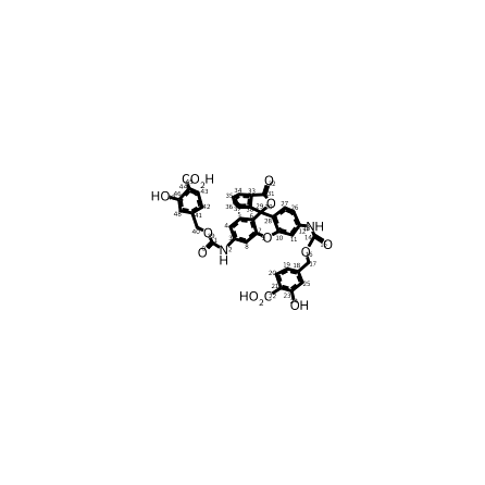 O=C(Nc1ccc2c(c1)Oc1cc(NC(=O)OCc3ccc(C(=O)O)c(O)c3)ccc1C21OC(=O)c2ccccc21)OCc1ccc(C(=O)O)c(O)c1